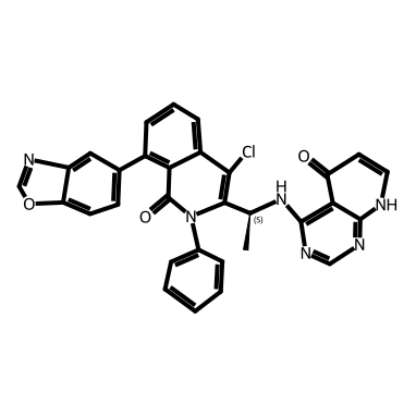 C[C@H](Nc1ncnc2[nH]ccc(=O)c12)c1c(Cl)c2cccc(-c3ccc4ocnc4c3)c2c(=O)n1-c1ccccc1